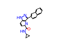 O=C(NC1CC1)c1ccc2[nH]nc(-c3ccc4ccccc4c3)c2n1